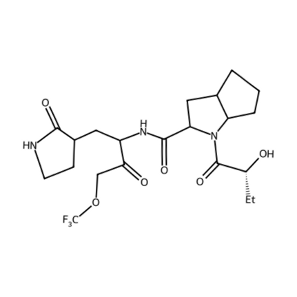 CC[C@@H](O)C(=O)N1C(C(=O)NC(CC2CCNC2=O)C(=O)COC(F)(F)F)CC2CCCC21